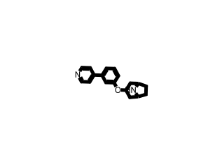 c1cc(OC2CC3CCC(C2)N3)cc(-c2ccncc2)c1